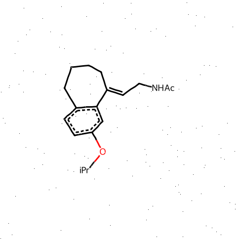 CC(=O)NC/C=C1\CCCCc2ccc(OC(C)C)cc21